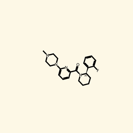 CN1CCN(c2cccc(C(=O)N3CCCC[C@@H]3c3ccccc3F)n2)CC1